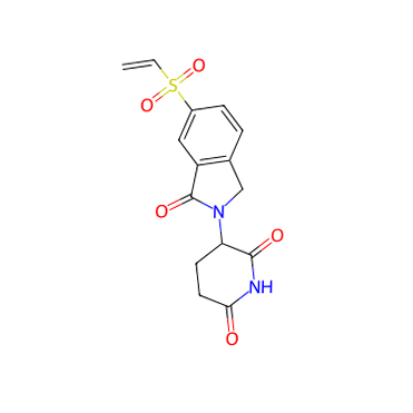 C=CS(=O)(=O)c1ccc2c(c1)C(=O)N(C1CCC(=O)NC1=O)C2